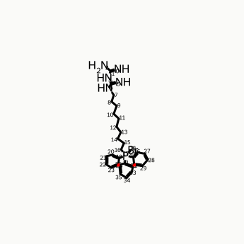 N=C(N)NC(=N)NCCCCCCCCCCP(Br)(c1ccccc1)(c1ccccc1)c1ccccc1